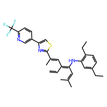 C=CC(/C=C(\C)c1nc(-c2ccc(C(F)(F)F)nc2)cs1)=C(\C=C(C)C)Nc1cc(CC)ccc1CC